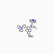 C=C/C(=C\C=C(/C)c1cc(-c2cccc(-n3c4ccccc4c4ccccc43)c2)c2ccc3cc(C(C)(C)C)cc4ccc1c2c43)c1ccccn1